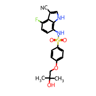 CC(C)(O)COc1ccc(S(=O)(=O)Nc2ccc(F)c3c(C#N)c[nH]c23)cc1